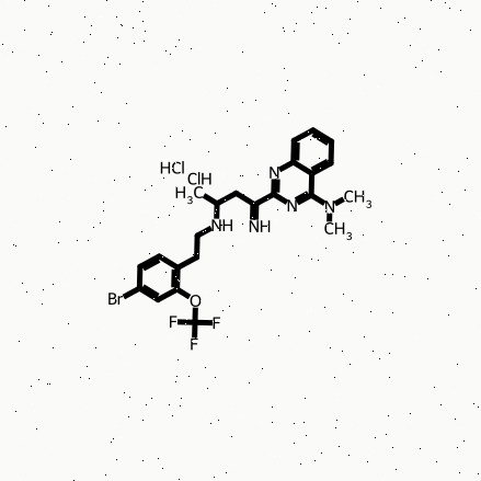 CC(CC(=N)c1nc(N(C)C)c2ccccc2n1)NCCc1ccc(Br)cc1OC(F)(F)F.Cl.Cl